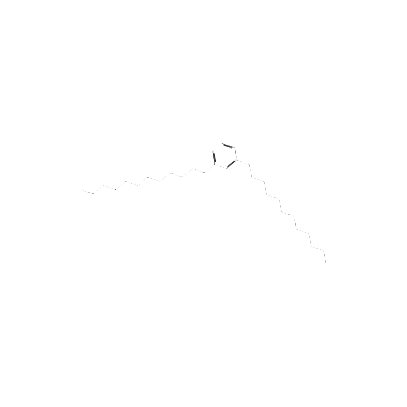 CCCCCCCCCCCCc1[c]c(CCCCCCCCCCCC)ccc1